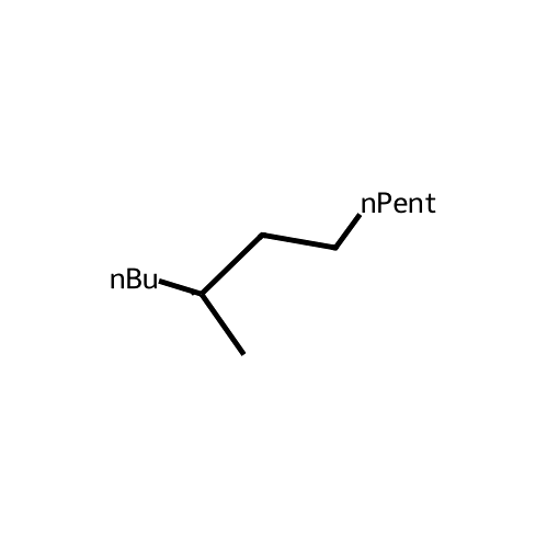 CCCCCCC[C](C)CCCC